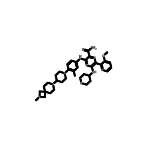 COc1cccnc1-c1nc(C(N)=O)c(Nc2ccc(N3CCC(N4CCC5(CC4)CN(C)C5)CC3)c(C)c2)nc1NC1CCOCC1